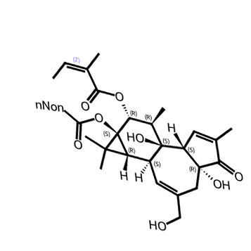 C/C=C(/C)C(=O)O[C@@H]1[C@@H](C)[C@@]2(O)[C@@H](C=C(CO)C[C@]3(O)C(=O)C(C)=C[C@@H]23)[C@@H]2C(C)(C)[C@]12OC(=O)CCCCCCCCC